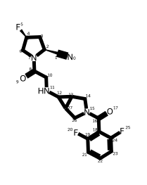 N#C[C@@H]1C[C@H](F)CN1C(=O)CNC1C2CN(C(=O)c3c(F)cccc3F)CC21